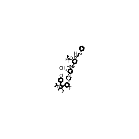 C.CSc1c(-c2cc(F)cc(N3CCN(c4ccc(NSc5ccc(NCCSc6ccccc6)c(OC(F)(F)F)c5)cc4)CC3)c2)c(-c2ccc(Cl)cc2)n(C(C)C)c1C